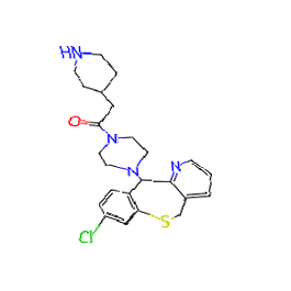 O=C(CC1CCNCC1)N1CCN(C2c3ccc(Cl)cc3SCc3cccnc32)CC1